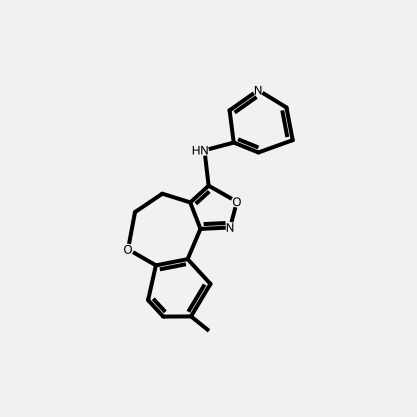 Cc1ccc2c(c1)-c1noc(Nc3cccnc3)c1CCO2